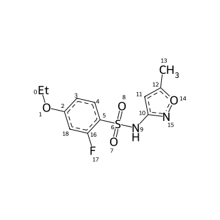 CCOc1ccc(S(=O)(=O)Nc2cc(C)on2)c(F)c1